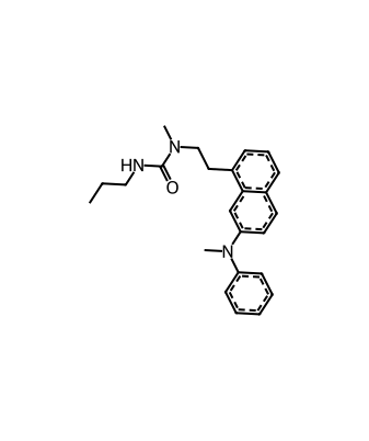 CCCNC(=O)N(C)CCc1cccc2ccc(N(C)c3ccccc3)cc12